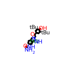 Br.CC(C)(C)c1cc(C(=O)CN2Cc3ccc(NC(N)=O)cc3C2=N)cc(C(C)(C)C)c1O